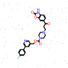 O=C(CCN1CCN(C(=O)OCc2cncc(-c3ccc(F)cc3)c2)CC1)c1ccc2[nH]c(=O)oc2c1